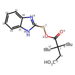 CC(C)(C)C(CC(=O)O)(C(=O)OSc1nc2ccccc2[nH]1)C(C)(C)C